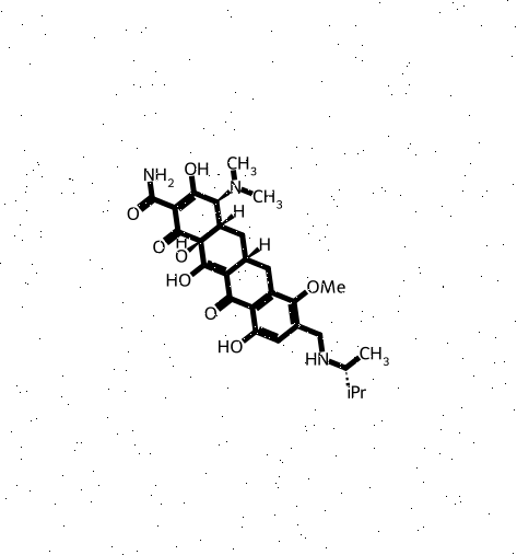 COc1c(CN[C@H](C)C(C)C)cc(O)c2c1C[C@H]1C[C@H]3[C@H](N(C)C)C(O)=C(C(N)=O)C(=O)[C@@]3(O)C(O)=C1C2=O